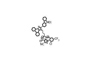 CCn1c2ccccc2c2cc(-c3nc4c5ccccc5c5ccccc5c4n3CCCC(=O)Nc3c([S+]([O-])C(F)(F)F)c(C#N)nn3-c3c(Cl)cc(C(F)(F)F)cc3Cl)ccc21